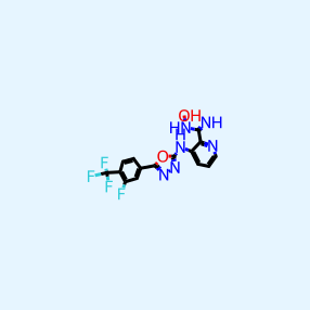 N=C(NO)c1ncccc1Nc1nnc(-c2ccc(C(F)(F)F)c(F)c2)o1